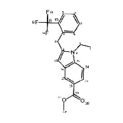 CCn1c(Cc2ccccc2C(F)(F)F)cc2cc(C(=O)OC)ccc21